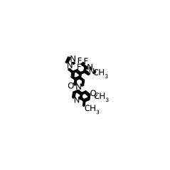 CCc1cc(OC)cc2c(N3CCc4c(cc(Cn5ccnc5)cc4-c4cn(C)nc4C(F)(F)F)C3=O)ccnc12